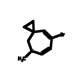 CN1C=CC(Br)=CC2(CC2)C1